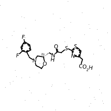 O=C(O)Cc1csc(SCC(=O)NC[C@H]2CN(Cc3ccc(F)cc3F)CCO2)n1